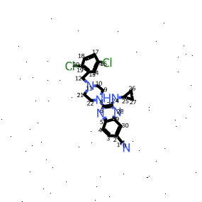 N#Cc1ccc2nc(N3CCN(Cc4cc(Cl)ccc4Cl)CC3)c(NC3CC3)nc2c1